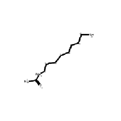 S=C(S)NCCCCCCCCS